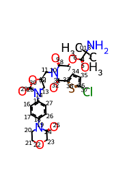 CC(C)(N)C(=O)OCC(=O)N(C[C@H]1CN(c2ccc(N3CCOCC3=O)cc2)C(=O)O1)C(=O)c1ccc(Cl)s1